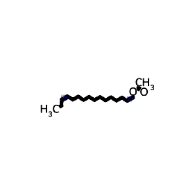 CC/C=C\CCCCCCCCCC/C=C\OC(C)=O